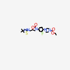 CCOC(=O)N1CCN(c2ccc(N3CC(CNC(=S)CC(C)(C)C)OC3=O)cc2F)CC1